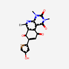 CCc1nc2c(c3c1C(=O)C(c1cc(O)cs1)=CC3=O)c(=O)n(C)c(=O)n2C